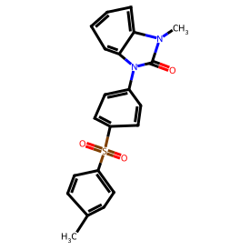 Cc1ccc(S(=O)(=O)c2ccc(-n3c(=O)n(C)c4ccccc43)cc2)cc1